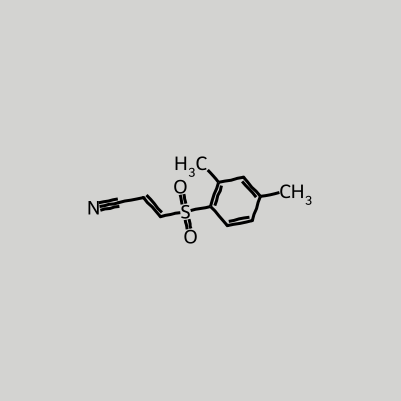 Cc1ccc(S(=O)(=O)/C=C/C#N)c(C)c1